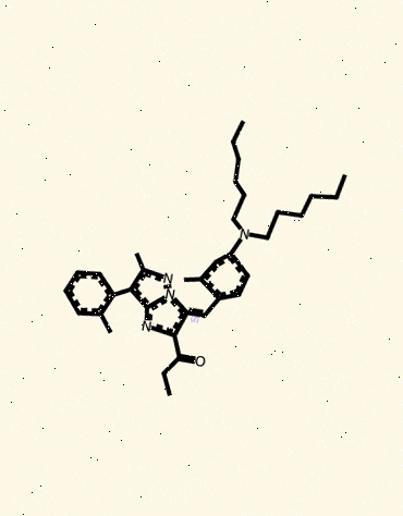 CCCCCCN(CCCCCC)c1ccc(/C=c2/c(C(=O)CC)nc3c(-c4ccccc4C)c(C)nn23)c(C)c1